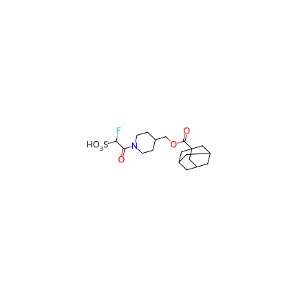 O=C(C(F)S(=O)(=O)O)N1CCC(COC(=O)C23CC4CC(CC(C4)C2)C3)CC1